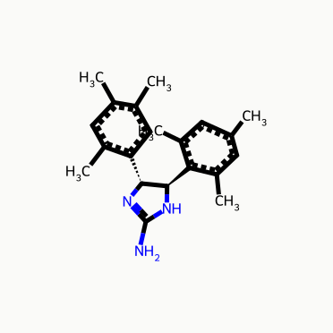 Cc1cc(C)c([C@H]2NC(N)=N[C@@H]2c2cc(C)c(C)cc2C)c(C)c1